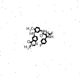 Cc1ccc(NC(=O)c2nc(F)[nH]c2-c2ccc(F)cc2)cc1Nc1ccc2ncn(C)c(=O)c2c1